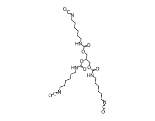 O=C=NCCCCCCNC(=O)OCC(COC(=O)NCCCCCCN=C=O)OC(=O)NCCCCCCN=C=O